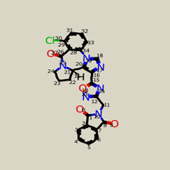 O=C1c2ccccc2C(=O)N1Cc1noc(-c2ncn3c2[C@@H]2CCCN2C(=O)c2c(Cl)cccc2-3)n1